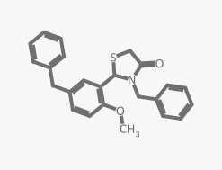 COc1ccc(Cc2ccccc2)cc1C1SCC(=O)N1Cc1ccccc1